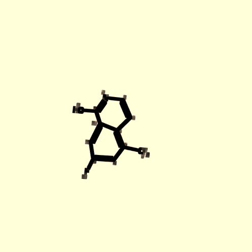 Oc1nccc2c(C(F)(F)F)cc(F)cc12